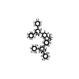 FC1(F)c2ccc(-c3cc(-c4ccccc4)cc(-c4ccccc4)n3)cc2-c2cc(-c3cc(-c4ccccc4)nc(-c4ccccc4)n3)ccc21